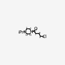 CC(C)N1CCN(C(=O)CCCCl)CC1